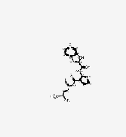 CC(C)COC(=O)NC(=O)c1ccsc1NC(=O)C1Nc2cnccc2S1